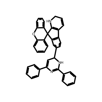 C1=CC2=C(NC1)C1(c3ccccc3Oc3ccccc31)c1cc(C3C=C(c4ccccc4)N=C(c4ccccc4)N3)ccc12